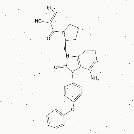 CC/C=C(\C#N)C(=O)N1CCC[C@H]1Cn1c(=O)n(-c2ccc(Oc3ccccc3)cc2)c2c(N)nccc21